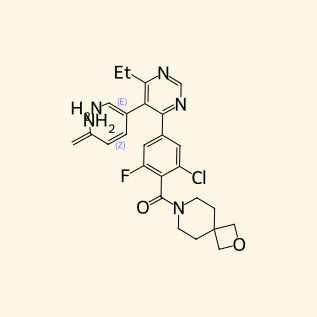 C=C(N)/C=C\C(=C/N)c1c(CC)ncnc1-c1cc(F)c(C(=O)N2CCC3(CC2)COC3)c(Cl)c1